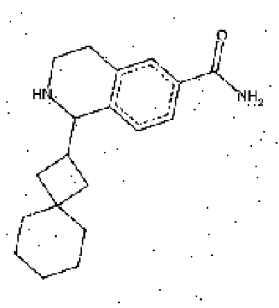 NC(=O)c1ccc2c(c1)CCNC2C1CC2(CCCCC2)C1